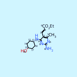 CCOC(=O)/C=C/c1c(C)nc(N)nc1N[C@H]1CC[C@H](O)CC1